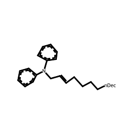 CCCCCCCCCCCCCCC=CCN(c1ccccc1)c1ccccc1